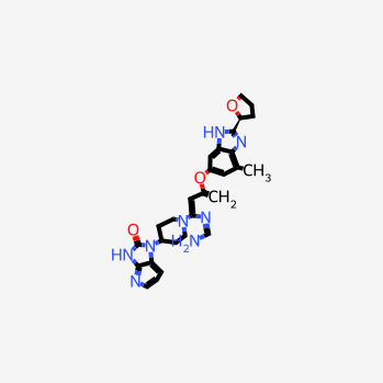 C=C(/C=C(\N=C/N)N1CCC(n2c(=O)[nH]c3ncccc32)CC1)Oc1cc(C)c2nc([C@@H]3CCCO3)[nH]c2c1